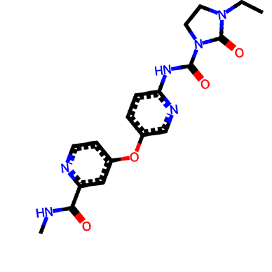 CCN1CCN(C(=O)Nc2ccc(Oc3ccnc(C(=O)NC)c3)cn2)C1=O